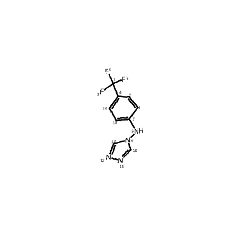 FC(F)(F)c1ccc(Nn2cnnc2)cc1